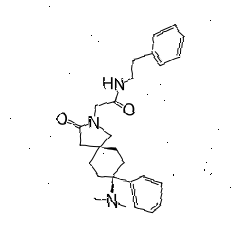 CN(C)[C@]1(c2ccccc2)CC[C@@]2(CC1)CC(=O)N(CC(=O)NCCc1ccccc1)C2